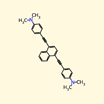 CN(C)c1ccc(C#Cc2ccc(C#Cc3ccc(N(C)C)cc3)c3ccccc23)cc1